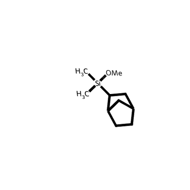 [CH2]O[Si](C)(C)C1CC2CCC1C2